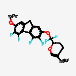 CCCCC1=COC(C(F)(F)Oc2cc3c(c(F)c2F)-c2c(cc(OCCC)c(F)c2F)C3)CC1